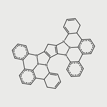 C1=CCC2C(=C1)N1B3c4c(cccc42)-c2ccccc2N3C2=C1C1=C(C2)N2B3c4c(cccc4C4CC=CC=C42)-c2ccccc2N31